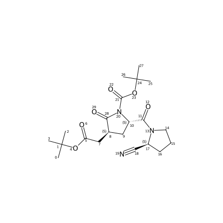 CC(C)(C)OC(=O)C[C@@H]1C[C@@H](C(=O)N2CCC[C@H]2C#N)N(C(=O)OC(C)(C)C)C1=O